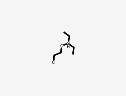 CC[SiH](CC)OCCCl